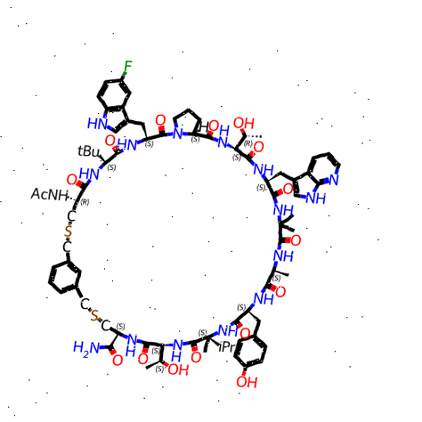 CC(=O)N[C@H]1CSCc2cccc(c2)CSC[C@H](C(N)=O)NC(=O)[C@H]([C@H](C)O)NC(=O)[C@](C)(C(C)C)NC(=O)[C@H](Cc2ccc(O)cc2)NC(=O)[C@H](C)NC(=O)C(C)(C)NC(=O)[C@H](Cc2c[nH]c3ncccc23)NC(=O)[C@H]([C@@H](C)O)NC(=O)[C@@H]2CCCN2C(=O)[C@H](Cc2c[nH]c3ccc(F)cc23)NC(=O)[C@H](C(C)(C)C)NC1=O